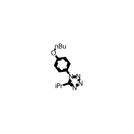 CCCCOc1ccc(-n2nnnc2C(C)C)cc1